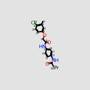 Cc1cc(OCC(=O)Nc2ccc(NC(=O)C(C)C)cc2)ccc1Cl